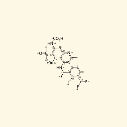 Cc1nc(N[C@H](C)c2cccc(C(F)F)c2F)c2c(C(C)(C)C)c(P(C)(C)=O)c(NC(=O)O)cc2n1